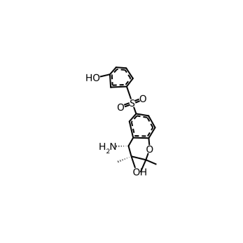 CC1(C)Oc2ccc(S(=O)(=O)c3cccc(O)c3)cc2[C@@H](N)[C@]1(C)O